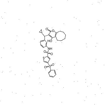 O=c1oc2c(c(O)c1C(c1cccc(NS(=O)(=O)c3cc(S(=O)(=O)c4ccccc4)cs3)c1)C1CC1)CCCCCC2